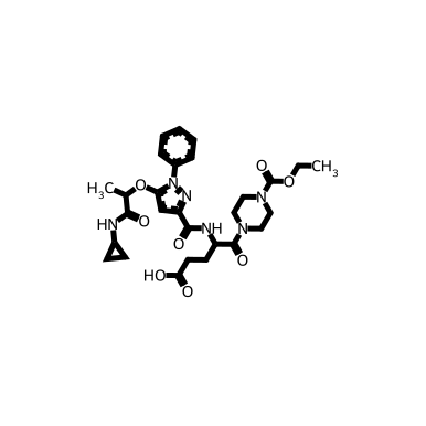 CCOC(=O)N1CCN(C(=O)C(CCC(=O)O)NC(=O)c2cc(OC(C)C(=O)NC3CC3)n(-c3ccccc3)n2)CC1